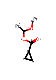 CC(C)OC(OC(=O)C1CC1)C(C)C